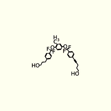 Cc1cc(OC(F)(F)c2ccc(C#CCCCO)cc2)ccc1OC(F)(F)c1ccc(CCCO)cc1